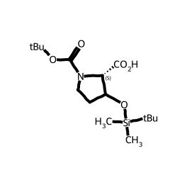 CC(C)(C)OC(=O)N1CCC(O[Si](C)(C)C(C)(C)C)[C@H]1C(=O)O